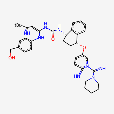 CC(C)(C)C(=N)/C=C(/NC(=O)N[C@H]1CC[C@@H](Oc2ccc(=N)n(C(=N)N3CCCCC3)c2)c2ccccc21)Nc1ccc(CO)cc1